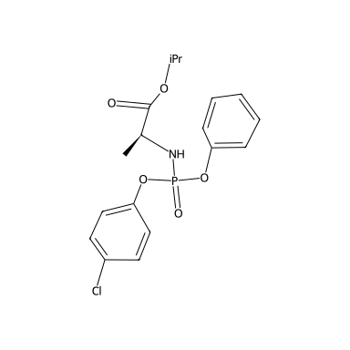 CC(C)OC(=O)[C@H](C)NP(=O)(Oc1ccccc1)Oc1ccc(Cl)cc1